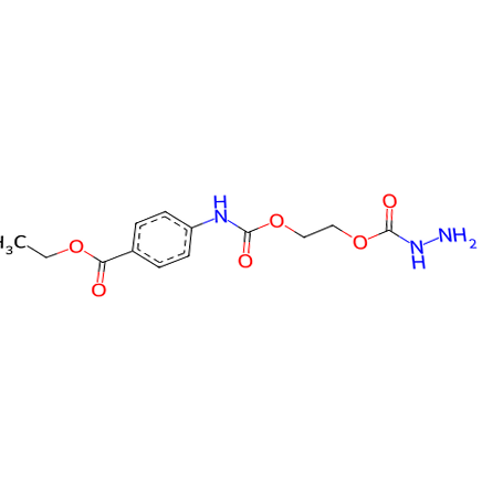 CCOC(=O)c1ccc(NC(=O)OCCOC(=O)NN)cc1